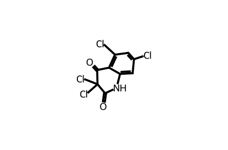 O=C1Nc2cc(Cl)cc(Cl)c2C(=O)C1(Cl)Cl